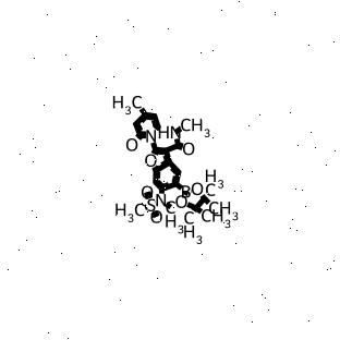 CNC(=O)c1c(-n2ccc(C)cc2=O)oc2cc(N(C)S(C)(=O)=O)c(B3OC(C)(C)C(C)(C)O3)cc12